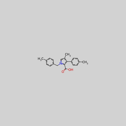 Cc1ccc(Cn2cc(C)c(-c3ccc(C)cc3)c2C(=O)O)cc1